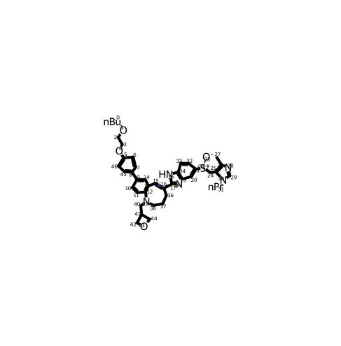 CCCCOCCOc1ccc(-c2ccc3c(c2)/C=C(/c2nc4cc([S@+]([O-])Cc5c(C)ncn5CCC)ccc4[nH]2)CCCN3CC2COC2)cc1